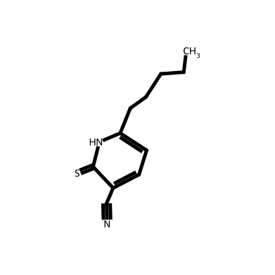 CCCCCc1ccc(C#N)c(=S)[nH]1